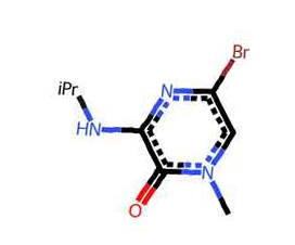 CC(C)Nc1nc(Br)cn(C)c1=O